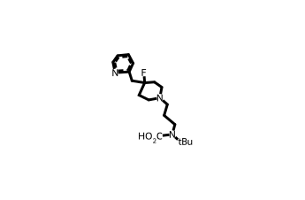 CC(C)(C)N(CCCN1CCC(F)(Cc2ccccn2)CC1)C(=O)O